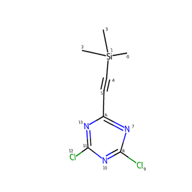 C[Si](C)(C)C#Cc1nc(Cl)nc(Cl)n1